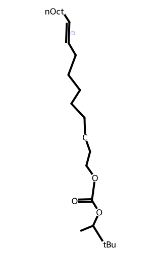 CCCCCCCC/C=C/CCCCCCCCOC(=O)OC(C)C(C)(C)C